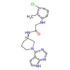 Cc1c(Cl)cccc1NCC(=O)N[C@@H]1CCCN(c2ncnc3[nH]ccc23)C1